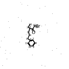 CCC(CCCc1ccccc1)C(=O)CBr